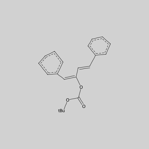 CC(C)(C)OC(=O)OC(C=Cc1ccccc1)=Cc1ccccc1